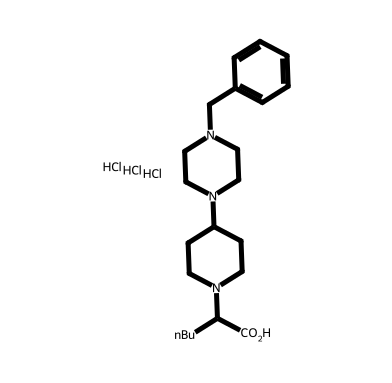 CCCCC(C(=O)O)N1CCC(N2CCN(Cc3ccccc3)CC2)CC1.Cl.Cl.Cl